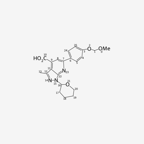 COCOc1ccc(-c2cc(C(=O)O)c3c(C)nn(C4CCCCO4)c3n2)cc1